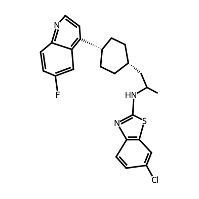 CC(C[C@H]1CC[C@@H](c2ccnc3ccc(F)cc32)CC1)Nc1nc2ccc(Cl)cc2s1